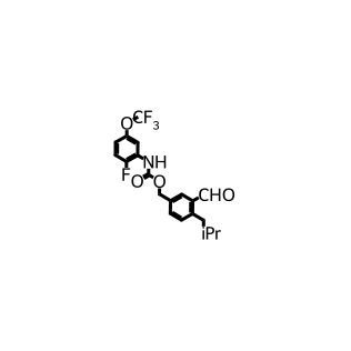 CC(C)Cc1ccc(COC(=O)Nc2cc(OC(F)(F)F)ccc2F)cc1C=O